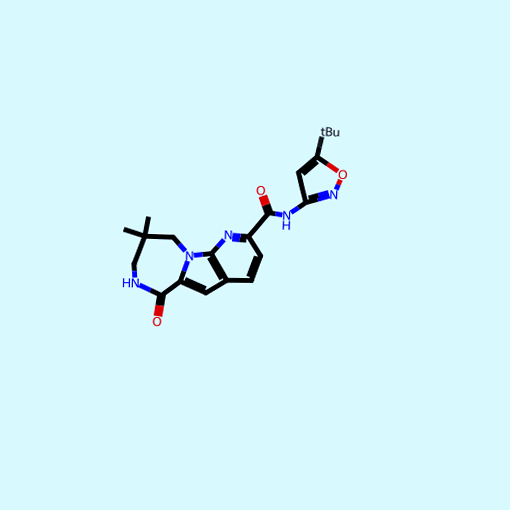 CC1(C)CNC(=O)c2cc3ccc(C(=O)Nc4cc(C(C)(C)C)on4)nc3n2C1